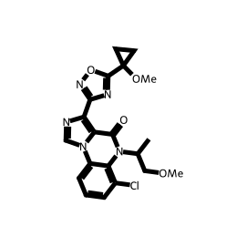 COCC(C)n1c(=O)c2c(-c3noc(C4(OC)CC4)n3)ncn2c2cccc(Cl)c21